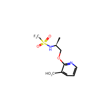 C[C@@H](COc1ncccc1C(=O)O)NS(=O)(=O)C(F)(F)F